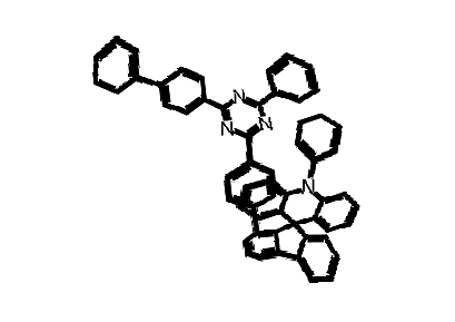 C1=CC(N2c3ccccc3C3(c4ccccc4-c4cccc(-c5ccc(-c6nc(-c7ccccc7)nc(-c7ccc(-c8ccccc8)cc7)n6)cc5)c43)c3ccccc32)=CCC1